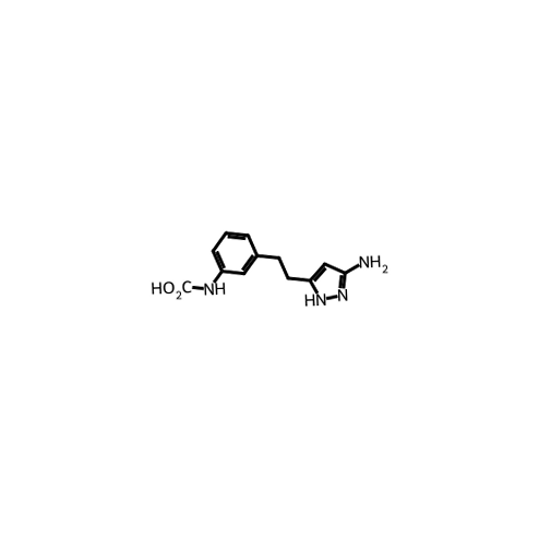 Nc1cc(CCc2cccc(NC(=O)O)c2)[nH]n1